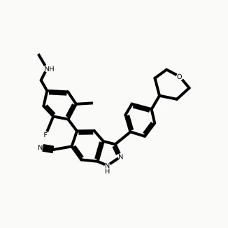 CNCc1cc(C)c(-c2cc3c(-c4ccc(C5CCOCC5)cc4)n[nH]c3cc2C#N)c(F)c1